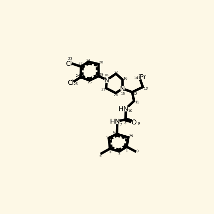 Cc1cc(C)cc(NC(=O)NCC(CC(C)C)N2CCN(c3ccc(Cl)c(Cl)c3)CC2)c1